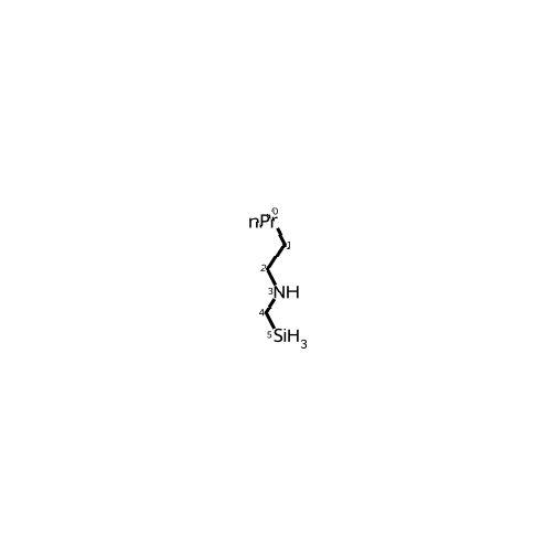 CCCCCNC[SiH3]